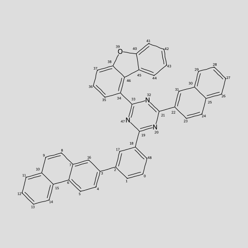 c1cc(-c2ccc3c(ccc4ccccc43)c2)cc(-c2nc(-c3ccc4ccccc4c3)nc(-c3cccc4oc5ccccc5c34)n2)c1